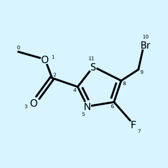 COC(=O)c1nc(F)c(CBr)s1